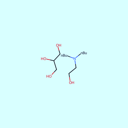 CCCCN(CCO)CCCC.OCC(O)CO